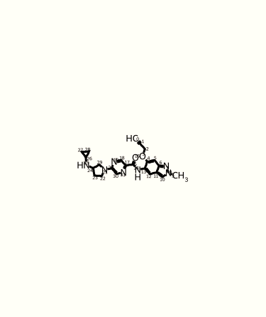 C#CCOc1cc2nn(C)cc2cc1NC(=O)c1cnc(N2CCC(NC3CC3)C2)cn1